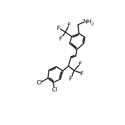 NCc1ccc(/C=C/C(c2ccc(Cl)c(Cl)c2)C(F)(F)F)cc1C(F)(F)F